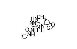 CNc1cc(Nc2cccc3c2OCCO3)nc2c(NC(=O)NC3CCCC3)cnn12